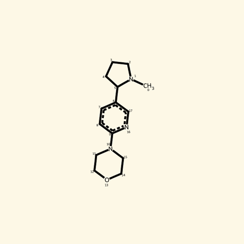 CN1CCCC1c1ccc(N2CCOCC2)nc1